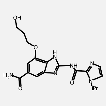 CC(C)n1ccnc1C(=O)Nc1nc2cc(C(N)=O)cc(OCCCO)c2[nH]1